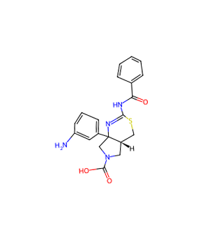 Nc1cccc(C23CN(C(=O)O)C[C@H]2CSC(NC(=O)c2ccccc2)=N3)c1